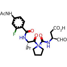 CC(=O)Nc1ccc(C(=O)N[C@H](C(=O)[N+]2(C(=O)N[C@H](C=O)CC(=O)O)CCCC2)C(C)C)c(F)c1